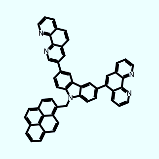 c1cnc2c(c1)ccc1cc(-c3ccc4c(c3)c3cc(-c5cc6cccnc6c6ncccc56)ccc3n4Cc3ccc4ccc5cccc6ccc3c4c56)cnc12